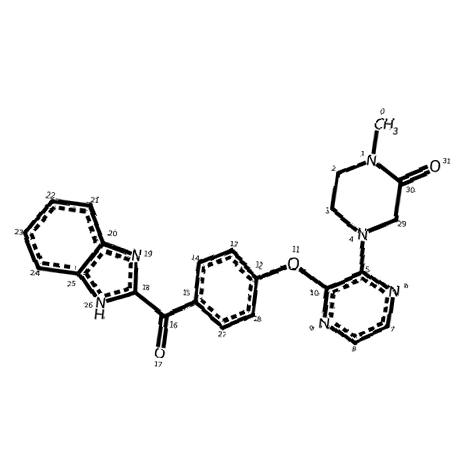 CN1CCN(c2nccnc2Oc2ccc(C(=O)c3nc4ccccc4[nH]3)cc2)CC1=O